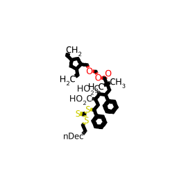 C=CC1CC(C=C)C(COCOC(=O)C(C)(C)CC(c2ccccc2)C(C(=O)O)C(CC(SC(=S)SCCCCCCCCCCCC)c2ccccc2)C(=O)O)C1